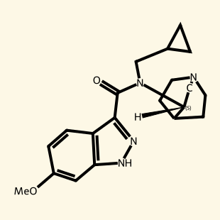 COc1ccc2c(C(=O)N(CC3CC3)[C@@H]3CN4CCC3CC4)n[nH]c2c1